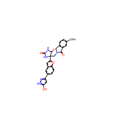 COc1ccc2c(c1)C(=O)N(CC1(c3cc4cc(-c5cc(O)[nH]n5)ccc4o3)NC(=O)NC1=O)C2